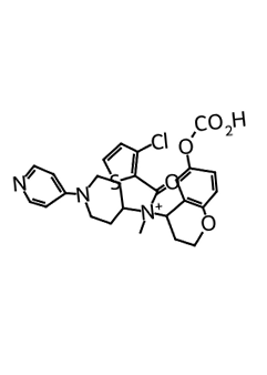 C[N+](C(=O)c1sccc1Cl)(C1CCN(c2ccncc2)CC1)C1CCOc2ccc(OC(=O)O)cc21